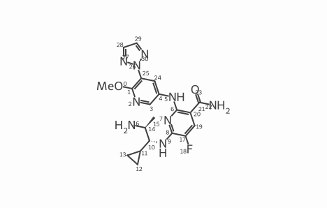 COc1ncc(Nc2nc(N[C@H](C3CC3)[C@H](C)N)c(F)cc2C(N)=O)cc1-n1nccn1